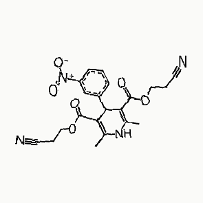 CC1=C(C(=O)OCCC#N)C(c2cccc([N+](=O)[O-])c2)C(C(=O)OCCC#N)=C(C)N1